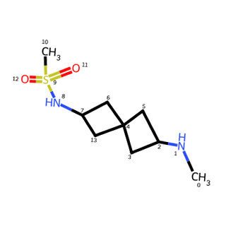 CNC1CC2(C1)CC(NS(C)(=O)=O)C2